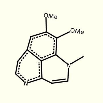 COc1cc2ccnc3c2c(c1OC)N(C)C=C3